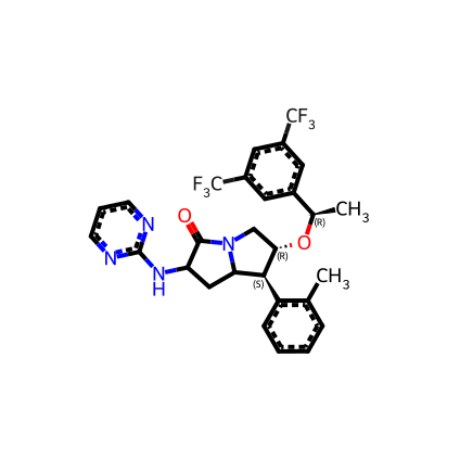 Cc1ccccc1[C@H]1C2CC(Nc3ncccn3)C(=O)N2C[C@@H]1O[C@H](C)c1cc(C(F)(F)F)cc(C(F)(F)F)c1